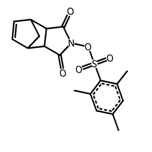 Cc1cc(C)c(S(=O)(=O)ON2C(=O)C3C4C=CC(C4)C3C2=O)c(C)c1